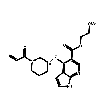 C=CC(=O)N1CCC[C@@H](Nc2c(C(=O)OCCOC)cnc3[nH]ccc23)C1